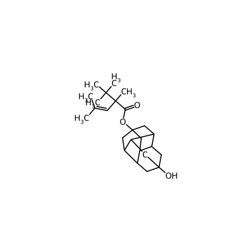 CC(C)=CC(C)(C(=O)OC12CC3C4CC5(O)CC3C(C1)C(C5)C4C2)C(C)(C)C